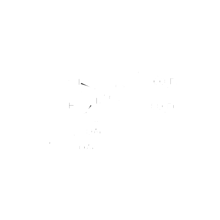 CCOC(=O)C(C[C@@H](C)[C@H]1CC[C@H]2[C@@H]3CCC4CCCC(OC(C)=O)(OC(C)=O)[C@]4(C)[C@H]3CC[C@]12C)C(=O)OCC